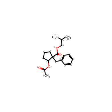 CC(=O)OC1CCCC1(Cc1ccccc1)C(=O)OCC(C)C